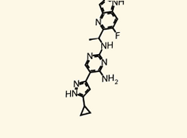 C[C@H](Nc1ncc(-c2cc(C3CC3)[nH]n2)c(N)n1)c1nc2cc[nH]c2cc1F